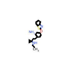 CCCNC1(CCc2ccc(Oc3nc4ccccc4s3)cc2)CC1.N